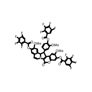 COc1cc(C2c3c(c(=O)oc4cc(OC(=O)c5cc(F)c(F)c(F)c5F)c(OC)cc34)N3C=Cc4cc(OC(=O)c5cc(F)c(F)c(F)c5F)c(OC)cc4C23)ccc1OC(=O)c1cc(F)c(F)c(F)c1F